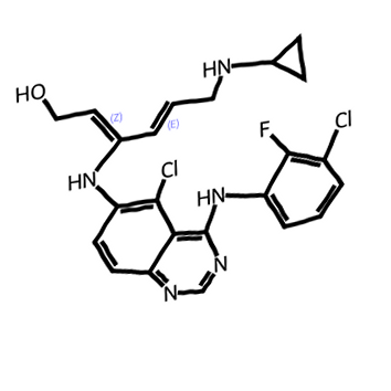 OC/C=C(/C=C/CNC1CC1)Nc1ccc2ncnc(Nc3cccc(Cl)c3F)c2c1Cl